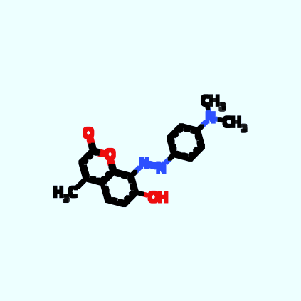 Cc1cc(=O)oc2c(N=Nc3ccc(N(C)C)cc3)c(O)ccc12